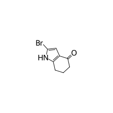 O=C1CCCc2[nH]c(Br)cc21